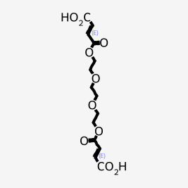 O=C(O)/C=C/C(=O)OCCOCCOCCOC(=O)/C=C/C(=O)O